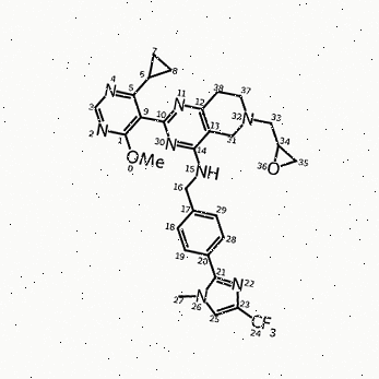 COc1ncnc(C2CC2)c1-c1nc2c(c(NCc3ccc(-c4nc(C(F)(F)F)cn4C)cc3)n1)CN(CC1CO1)CC2